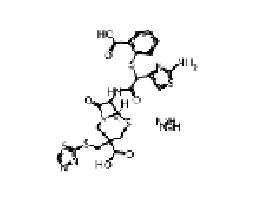 Nc1nc(C(Sc2ccccc2C(=O)O)C(=O)NC2C(=O)N3CC(CSc4nncs4)(C(=O)O)CS[C@H]23)cs1.[NaH].[NaH]